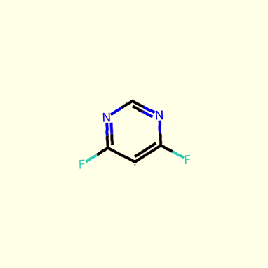 Fc1[c]c(F)ncn1